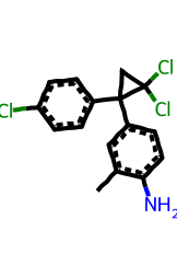 Cc1cc(C2(c3ccc(Cl)cc3)CC2(Cl)Cl)ccc1N